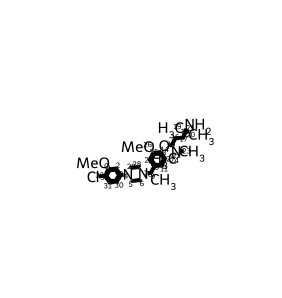 COc1cc(N2CCN(C(C)c3ccc(OC(CCC(C)(C)N)N(C)C)c(OC)c3)CC2)ccc1Cl